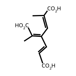 CC(=CC(C=CC(=O)O)=C(C)C(=O)O)C(=O)O